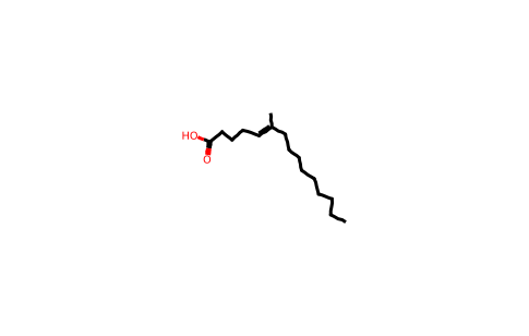 CCCCCCCCCC(C)=CCCCC(=O)O